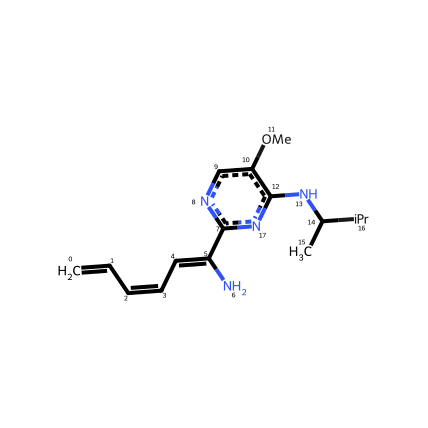 C=C/C=C\C=C(/N)c1ncc(OC)c(NC(C)C(C)C)n1